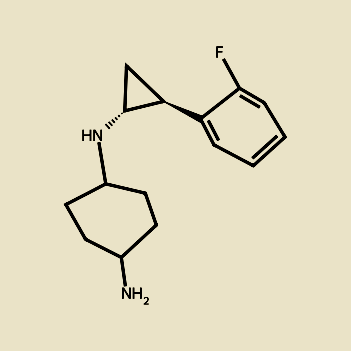 NC1CCC(N[C@@H]2C[C@H]2c2ccccc2F)CC1